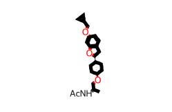 CC(=O)NC(C)CO[C@H]1CC[C@H](C2Cc3ccc(OCC4CC4)cc3O2)CC1